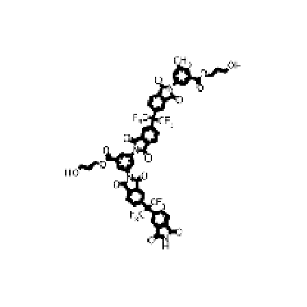 Cc1cc(C(=O)OCCCO)cc(N2C(=O)c3ccc(C(c4ccc5c(c4)C(=O)N(c4cc(C(=O)OCCCO)cc(N6C(=O)c7ccc(C(c8ccc9c(c8)C(=O)NC9=O)(C(F)(F)F)C(F)(F)F)cc7C6=O)c4)C5=O)(C(F)(F)F)C(F)(F)F)cc3C2=O)c1